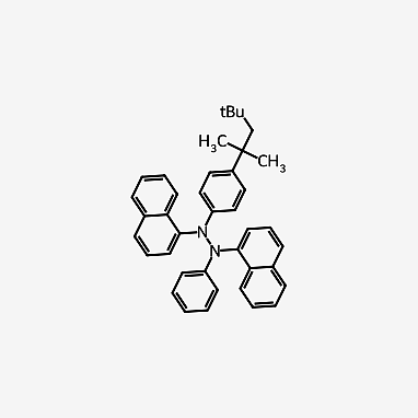 CC(C)(C)CC(C)(C)c1ccc(N(c2cccc3ccccc23)N(c2ccccc2)c2cccc3ccccc23)cc1